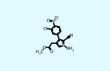 COC(=O)Cc1cn(N)c(C#N)c1-c1ccc([N+](=O)[O-])c(Cl)c1